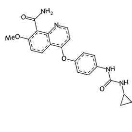 COc1ccc2c(Oc3ccc(NC(=O)NC4CC4)cc3)ccnc2c1C(N)=O